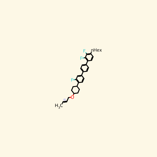 C/C=C/COC1CCC(c2ccc(-c3ccc(-c4ccc(CCCCCC)c(F)c4F)cc3)cc2F)CC1